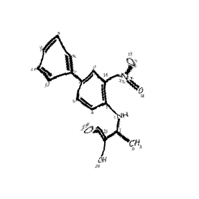 CC(Nc1ccc(-c2ccccc2)cc1[N+](=O)[O-])C(=O)O